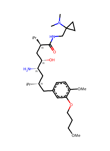 COCCCOc1cc(C[C@@H](C[C@H](N)[C@@H](O)C[C@H](C(=O)NCC2(N(C)C)CC2)C(C)C)C(C)C)ccc1OC